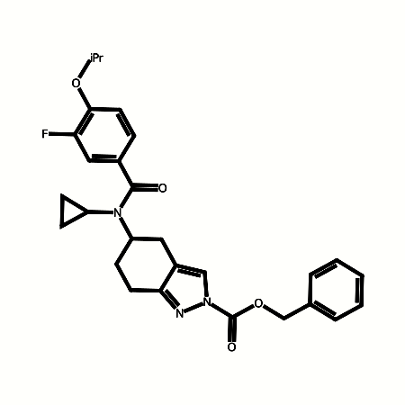 CC(C)Oc1ccc(C(=O)N(C2CC2)C2CCc3nn(C(=O)OCc4ccccc4)cc3C2)cc1F